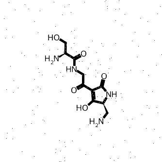 NC[C@@H]1NC(=O)C(C(=O)[CH]NC(=O)[C@@H](N)CO)=C1O